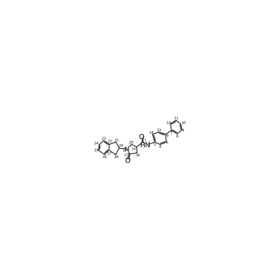 O=C(Nc1ccc(-c2ccccc2)cc1)C1CC(=O)N(C2Cc3ccccc3C2)C1